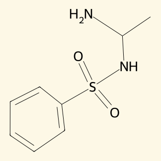 CC(N)NS(=O)(=O)c1ccccc1